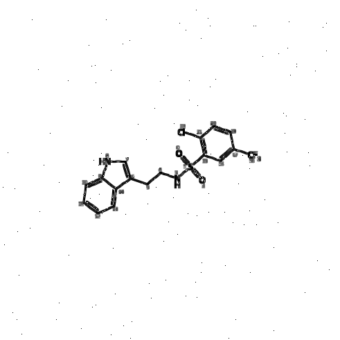 O=S(=O)(NCCc1c[nH]c2ccccc12)c1cc(C(F)(F)F)ccc1Cl